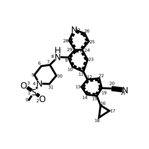 CS(=O)(=O)N1CCC(Nc2cc(-c3ccc(C4CC4)c(C#N)c3)cc3ccncc23)CC1